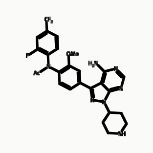 COc1cc(-c2nn(C3CCNCC3)c3ncnc(N)c23)ccc1N(C(C)=O)c1ccc(C(F)(F)F)cc1F